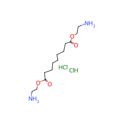 Cl.Cl.NCCOC(=O)CCCCCCCC(=O)OCCN